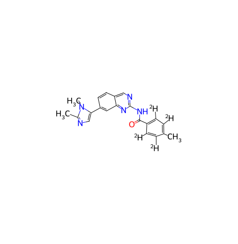 [2H]c1c([2H])c(C(=O)Nc2ncc3ccc(-c4cnc(C)n4C)cc3n2)c([2H])c([2H])c1C